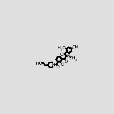 Cc1cc(C#N)cc2c1cc(C(=O)c1c(Cl)ccc(C(=O)N3CCC(CCO)CC3)c1Cl)n2C